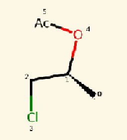 [CH2][C@@H](CCl)OC(C)=O